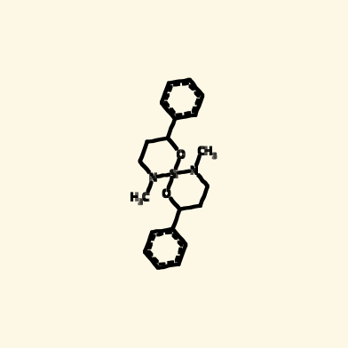 CN1CCC(c2ccccc2)O[Si]12OC(c1ccccc1)CCN2C